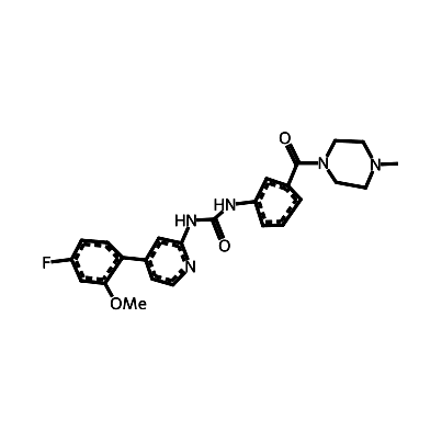 COc1cc(F)ccc1-c1ccnc(NC(=O)Nc2cccc(C(=O)N3CCN(C)CC3)c2)c1